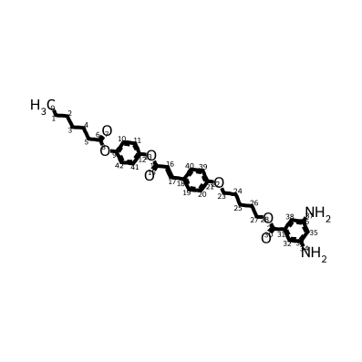 CCCCCCC(=O)Oc1ccc(OC(=O)C=Cc2ccc(OCCCCCOC(=O)c3cc(N)cc(N)c3)cc2)cc1